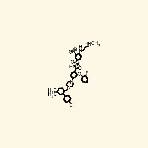 CNCCCNc1ccc(S(=O)(=O)NC(=O)c2ccc(N3CCN(CC4=C(c5ccc(Cl)cc5)CC(C)(C)CC4)CC3)cc2Oc2ccccc2F)cc1[N+](=O)[O-]